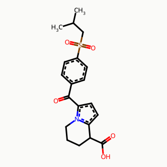 CC(C)CS(=O)(=O)c1ccc(C(=O)c2ccc3n2CCCC3C(=O)O)cc1